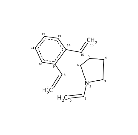 C=CN1CCCC1.C=Cc1ccccc1C=C